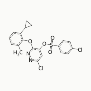 Cc1cccc(C2CC2)c1Oc1nnc(Cl)cc1OS(=O)(=O)c1ccc(Cl)cc1